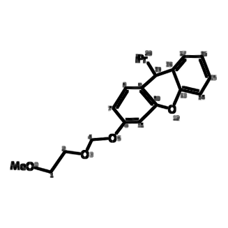 COCCOCOc1ccc2c(c1)Oc1ccccc1C2C(C)C